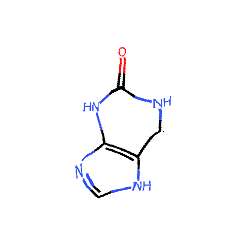 O=C1N[CH]c2[nH]cnc2N1